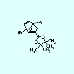 CC(C)C12C=CC(C(C)C)(CC(B3OC(C)(C)C(C)(C)O3)=C1)O2